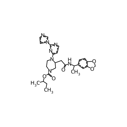 CCC(C)OC(=O)N1CCN(c2ccnc(-n3ccnc3)n2)C(CC(=O)NC(C)c2ccc3c(c2)OCO3)C1